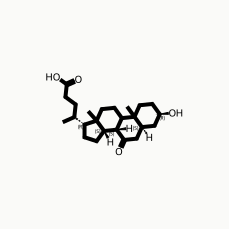 CC(CCC(=O)O)[C@H]1CC[C@H]2[C@H]3C(=O)C[C@@H]4C[C@H](O)CCC4(C)C3CCC12C